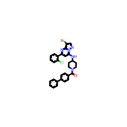 O=C(c1ccc(-c2ccccc2)cc1)N1CCC(Nc2cc(-c3ccccc3Cl)nc3c(Br)cnn23)CC1